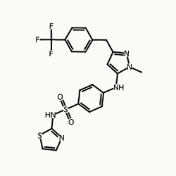 Cn1nc(Cc2ccc(C(F)(F)F)cc2)cc1Nc1ccc(S(=O)(=O)Nc2nccs2)cc1